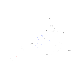 COc1ccc(CN(Cc2ccc(OC)cc2OC)c2ncnc3c2nnn3[C@@H]2CCC[C@H](COS(C)(=O)=O)C2)c(OC)c1